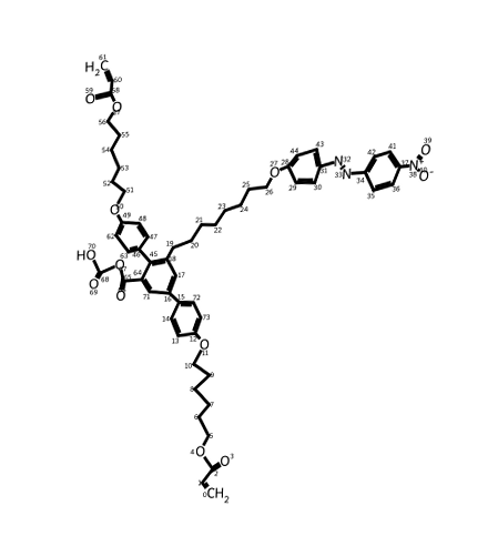 C=CC(=O)OCCCCCCOc1ccc(-c2cc(CCCCCCCCOc3ccc(N=Nc4ccc([N+](=O)[O-])cc4)cc3)c(-c3ccc(OCCCCCCOC(=O)C=C)cc3)c(C(=O)OC(=O)O)c2)cc1